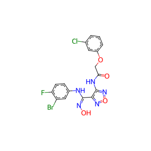 O=C(COc1cccc(Cl)c1)Nc1nonc1/C(=N\O)Nc1ccc(F)c(Br)c1